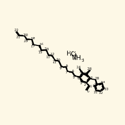 C=Cc1cc(CCCCCCCCCCCCCCCCCC)c(C)c(C)c1Cc1ccccc1.Cl.N